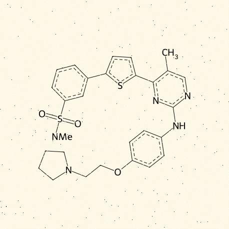 CNS(=O)(=O)c1cccc(-c2ccc(-c3nc(Nc4ccc(OCCN5CCCC5)cc4)ncc3C)s2)c1